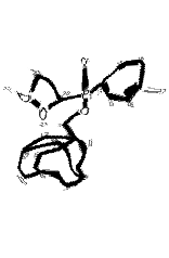 O=P(OCC12CC3CC(CC(C3)C1)C2)(c1ccccc1)C1COO1